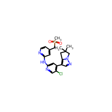 CC1(C)Cc2c(-c3cc(Nc4cc(CS(C)(=O)=O)ccn4)ncc3Cl)cnn2C1